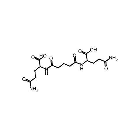 NC(=O)CCC(NC(=O)CCCC(=O)NC(CCC(N)=O)C(=O)O)C(=O)O